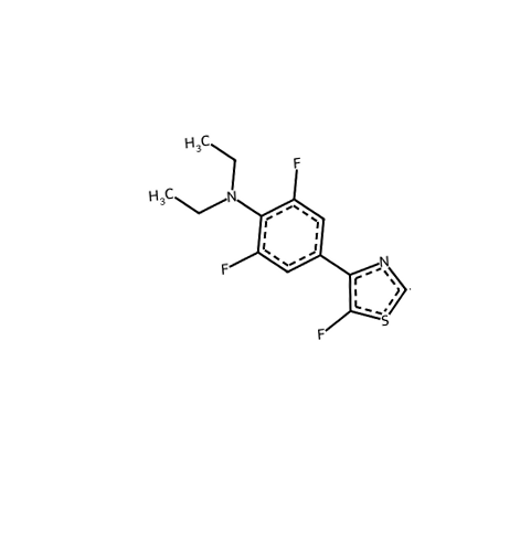 CCN(CC)c1c(F)cc(-c2n[c]sc2F)cc1F